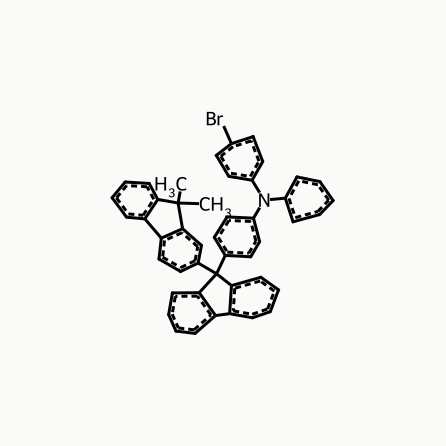 CC1(C)c2ccccc2-c2ccc(C3(c4ccc(N(c5ccccc5)c5ccc(Br)cc5)cc4)c4ccccc4-c4ccccc43)cc21